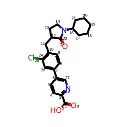 O=C(O)c1ccc(-c2ccc(CC3CCN(C4CCCCC4)C3=O)c(Cl)c2)cn1